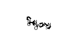 O=C(c1cnn(C(=O)N2CCN(Cc3nccs3)CC2)c1)N1CCCC1